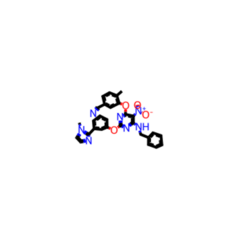 Cc1ccc(C#N)cc1Oc1nc(Oc2cccc(-c3nccn3C)c2)nc(NCc2ccccc2)c1[N+](=O)[O-]